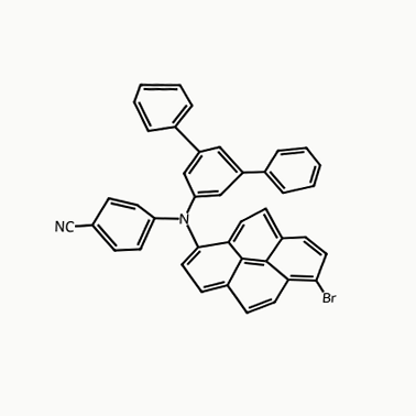 N#Cc1ccc(N(c2cc(-c3ccccc3)cc(-c3ccccc3)c2)c2ccc3ccc4c(Br)ccc5ccc2c3c54)cc1